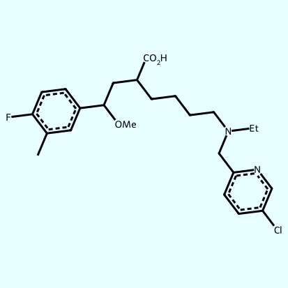 CCN(CCCCC(CC(OC)c1ccc(F)c(C)c1)C(=O)O)Cc1ccc(Cl)cn1